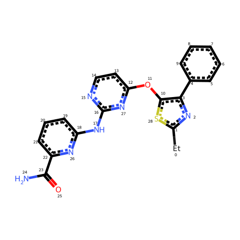 CCc1nc(-c2ccccc2)c(Oc2ccnc(Nc3cccc(C(N)=O)n3)n2)s1